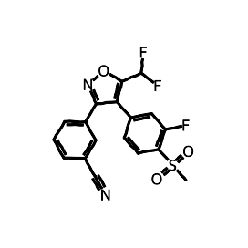 CS(=O)(=O)c1ccc(-c2c(-c3cccc(C#N)c3)noc2C(F)F)cc1F